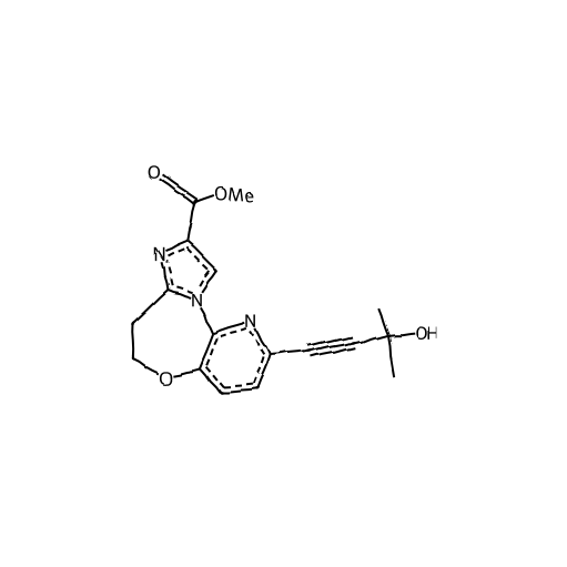 COC(=O)c1cn2c(n1)CCOc1ccc(C#CC(C)(C)O)nc1-2